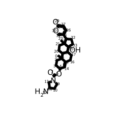 CC12CCC(OC(=O)N3CC[C@H](N)C3)C=C1CCC1C2CCC2(C)C(c3ccc(=O)oc3)CCC12O